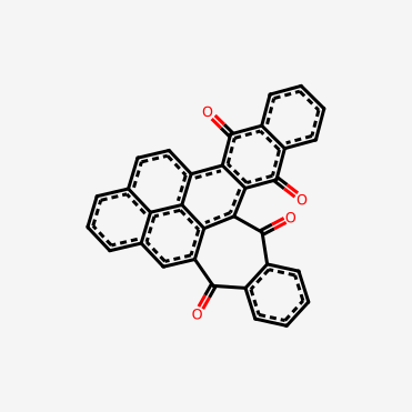 O=C1c2ccccc2C(=O)c2c3c1cc1cccc4ccc(c5c(=O)c6ccccc6c(=O)c25)c3c41